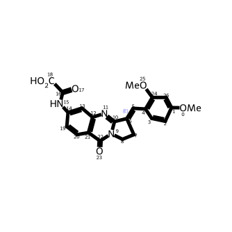 COc1ccc(/C=C2\CCn3c2nc2cc(NC(=O)C(=O)O)ccc2c3=O)c(OC)c1